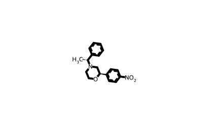 C[C@H](c1ccccc1)N1CCO[C@H](c2ccc([N+](=O)[O-])cc2)C1